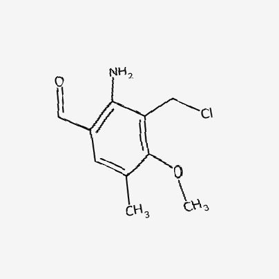 COc1c(C)cc(C=O)c(N)c1CCl